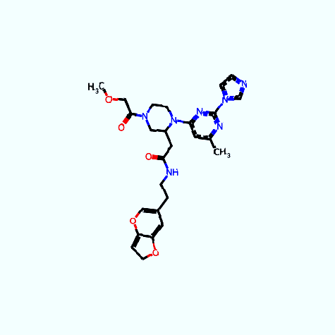 COCC(=O)N1CCN(c2cc(C)nc(-n3ccnc3)n2)C(CC(=O)NCCC2=COC3=CCOC3=C2)C1